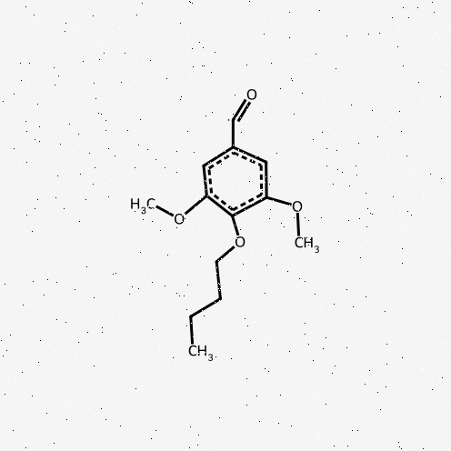 CCCCOc1c(OC)cc([C]=O)cc1OC